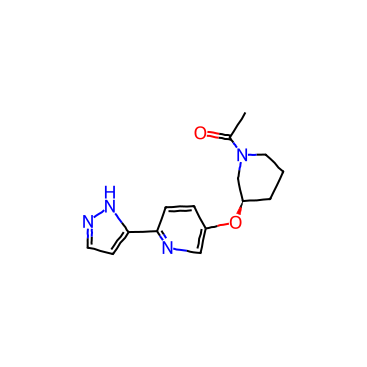 CC(=O)N1CCC[C@@H](Oc2ccc(-c3ccn[nH]3)nc2)C1